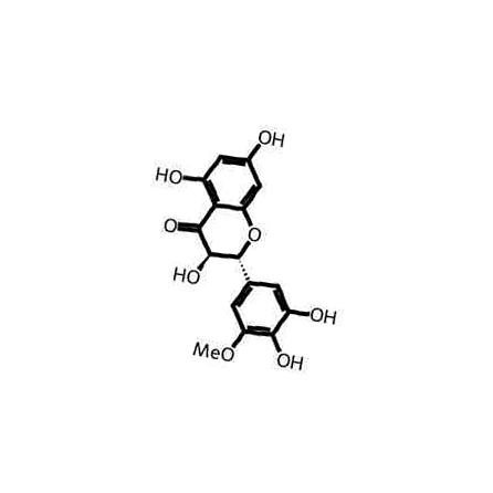 COc1cc([C@H]2Oc3cc(O)cc(O)c3C(=O)[C@@H]2O)cc(O)c1O